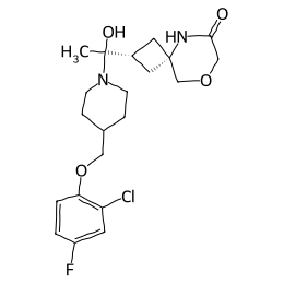 CC(O)([C@H]1C[C@]2(COCC(=O)N2)C1)N1CCC(COc2ccc(F)cc2Cl)CC1